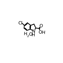 O.O=C(O)C1Cc2cc(Cl)ccc2N1